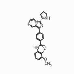 COc1cccc(NC(=O)c2ccc(-c3nc([C@@H]4CCCN4)n4ccncc34)cc2)c1F